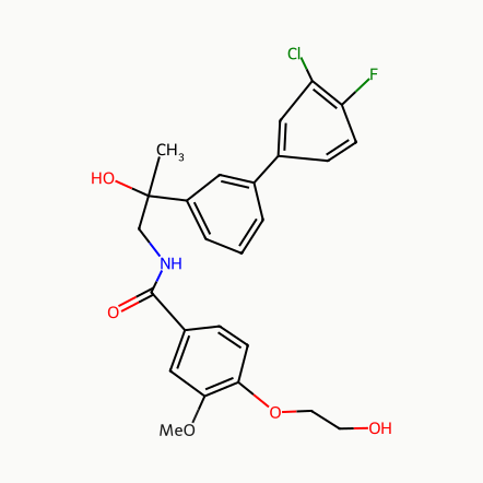 COc1cc(C(=O)NCC(C)(O)c2cccc(-c3ccc(F)c(Cl)c3)c2)ccc1OCCO